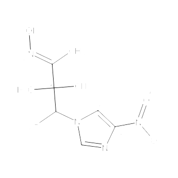 CC(=NO)C(C)(C)C(F)n1cnc([N+](=O)[O-])c1